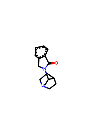 O=C1c2ccccc2CN1C1CN2CCC1CC2